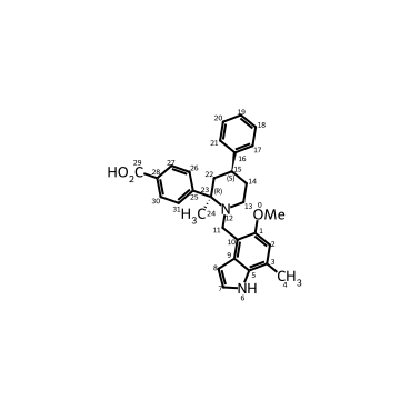 COc1cc(C)c2[nH]ccc2c1CN1CC[C@H](c2ccccc2)C[C@]1(C)c1ccc(C(=O)O)cc1